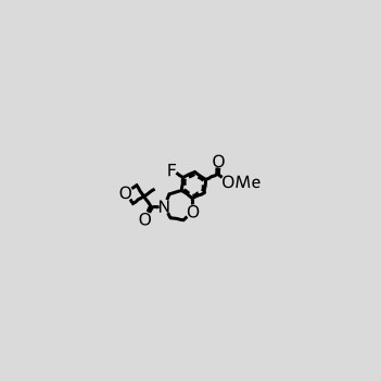 COC(=O)c1cc(F)c2c(c1)OCCN(C(=O)C1(C)COC1)C2